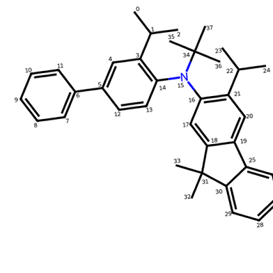 CC(C)c1cc(-c2ccccc2)ccc1N(c1cc2c(cc1C(C)C)-c1ccccc1C2(C)C)C(C)(C)C